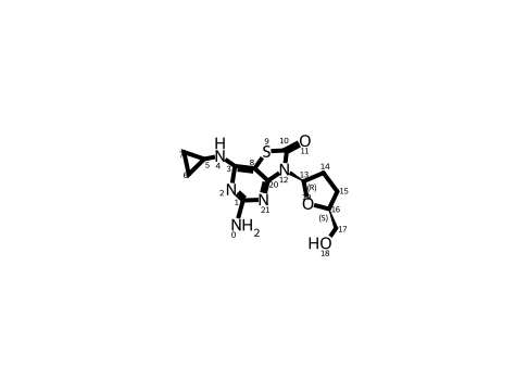 Nc1nc(NC2CC2)c2sc(=O)n([C@H]3CC[C@@H](CO)O3)c2n1